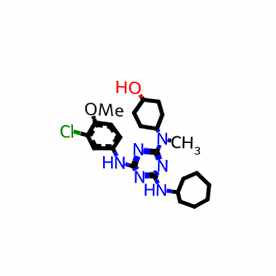 COc1ccc(Nc2nc(NC3CCCCCC3)nc(N(C)C3CCC(O)CC3)n2)cc1Cl